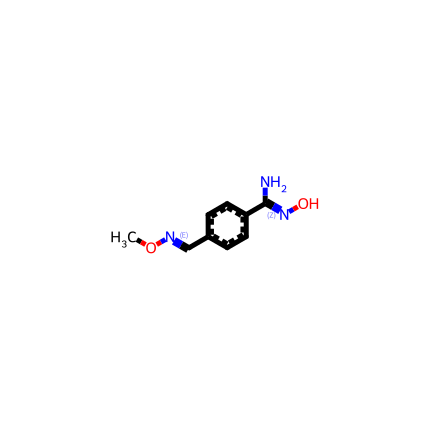 CO/N=C/c1ccc(/C(N)=N/O)cc1